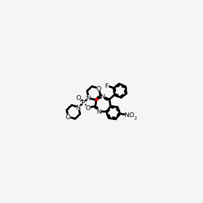 O=[N+]([O-])c1ccc2c(c1)C(c1ccccc1F)=NCC(OP(=O)(N1CCOCC1)N1CCOCC1)=N2